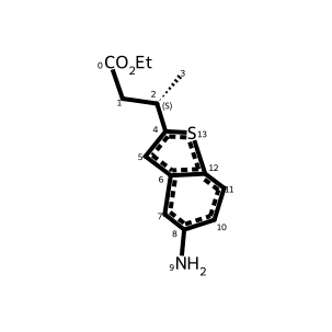 CCOC(=O)C[C@H](C)c1cc2cc(N)ccc2s1